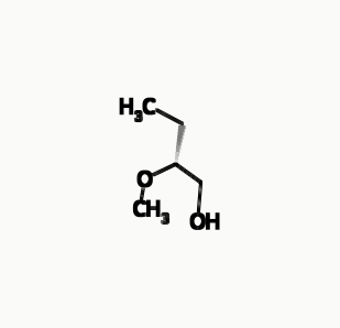 CC[C@H](CO)OC